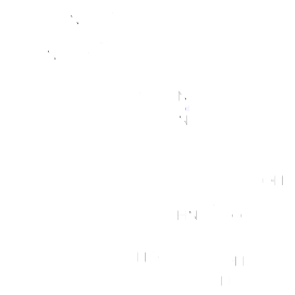 O=C(NC(CO)(CO)CO)c1cc(/N=N/c2ccc(S(=O)(=O)Nc3ccccn3)cc2)ccc1O